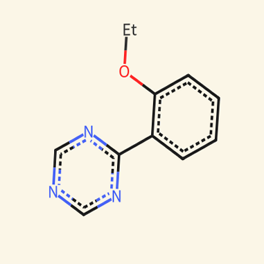 CCOc1ccccc1-c1ncncn1